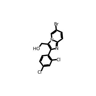 OCc1c(-c2ccc(Cl)cc2Cl)nc2ccc(Br)cn12